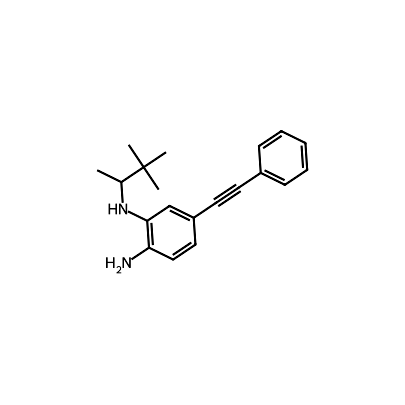 CC(Nc1cc(C#Cc2ccccc2)ccc1N)C(C)(C)C